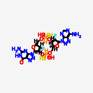 Nc1nc2c(nnn2[C@@H]2O[C@@H]3CO[PH](O)(S)O[C@H]4[C@H](F)[C@H](n5nnc6c(N)ncnc65)O[C@@H]4CO[PH](O)(S)O[C@@H]2[C@@H]3F)c(=O)[nH]1